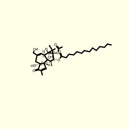 CCCCCCCCCCCCCC(=O)O[C@@H]1[C@@H](C)[C@@]2(O)[C@@H](C=C(CO)C[C@]3(O)C(=O)C(C)=C[C@@H]23)[C@@H]2C(C)(C)[C@]12OC(C)=O